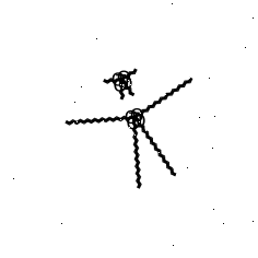 CCCCCCCCCCCCCCCCCC[O][Ti]([O]CCCCCCCCCCCCCCCCCC)([O]CCCCCCCCCCCCCCCCCC)[O]CCCCCCCCCCCCCCCCCC.CCCC[O][Ti]([O]CCCC)([O]CCCC)[O]CCCC